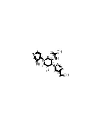 C[C@H]1CN(c2ccncc2N)C[C@@H](NC(=O)O)[C@H]1n1cc(CO)nn1